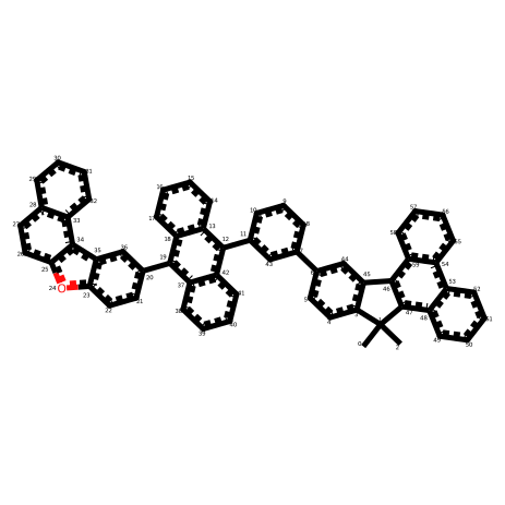 CC1(C)c2ccc(-c3cccc(-c4c5ccccc5c(-c5ccc6oc7ccc8ccccc8c7c6c5)c5ccccc45)c3)cc2-c2c1c1ccccc1c1ccccc21